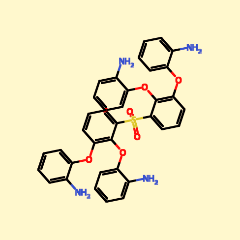 Nc1ccccc1Oc1cccc(S(=O)(=O)c2cccc(Oc3ccccc3N)c2Oc2ccccc2N)c1Oc1ccccc1N